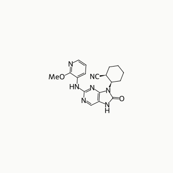 COc1ncccc1Nc1ncc2[nH]c(=O)n([C@@H]3CCCC[C@@H]3C#N)c2n1